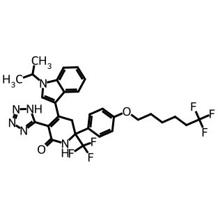 CC(C)n1cc(C2=C(c3nnn[nH]3)C(=O)NC(c3ccc(OCCCCCC(F)(F)F)cc3)(C(F)(F)F)C2)c2ccccc21